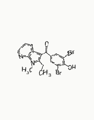 CCc1c(C(=O)c2cc(Br)c(O)c(Br)c2)c2cccnc2n1C